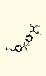 NCc1ccc(S(=O)(=O)Nc2ccc(CC(N)C(=O)O)cc2)cc1